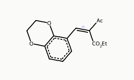 CCOC(=O)/C(=C\c1cccc2c1OCCO2)C(C)=O